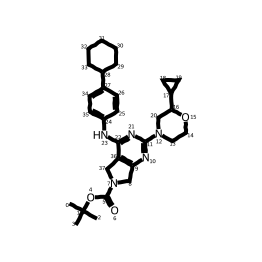 CC(C)(C)OC(=O)N1Cc2nc(N3CCOC(C4CC4)C3)nc(Nc3ccc(C4CCCCC4)cc3)c2C1